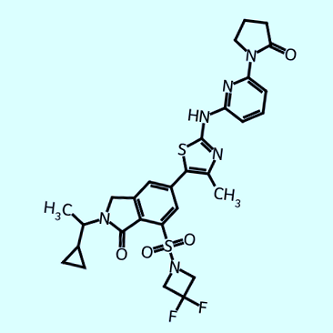 Cc1nc(Nc2cccc(N3CCCC3=O)n2)sc1-c1cc2c(c(S(=O)(=O)N3CC(F)(F)C3)c1)C(=O)N(C(C)C1CC1)C2